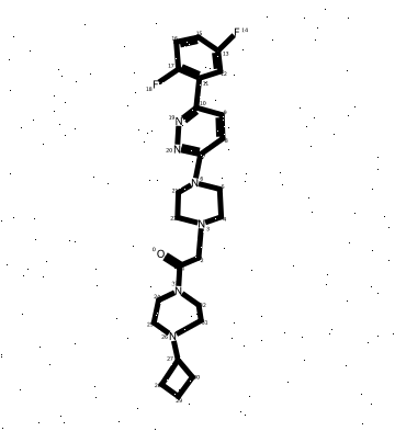 O=C(CN1CCN(c2ccc(-c3cc(F)ccc3F)nn2)CC1)N1CCN(C2CCC2)CC1